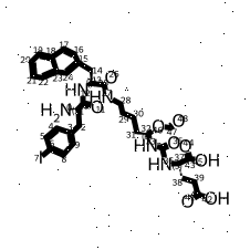 N[C@@H](Cc1ccc(I)cc1)C(=O)N[C@@H](Cc1ccc2ccccc2c1)C(=O)NCCCC[C@H](NC(=O)N[C@@H](CCC(=O)O)C(=O)O)OC=O